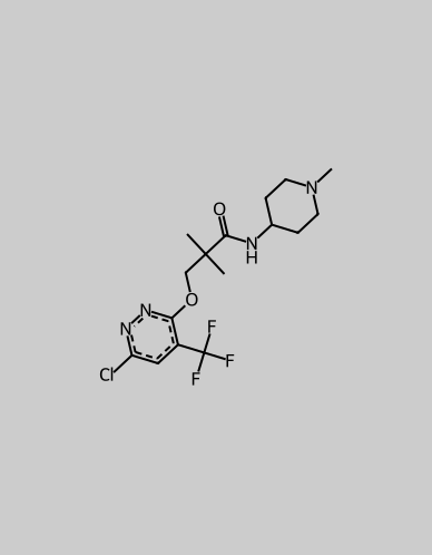 CN1CCC(NC(=O)C(C)(C)COc2nnc(Cl)cc2C(F)(F)F)CC1